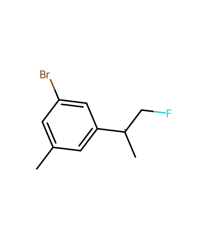 C[C](CF)c1cc(C)cc(Br)c1